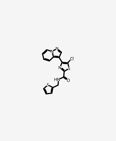 O=C(NCc1cccs1)c1nc(-c2cnn3ccccc23)c(Cl)s1